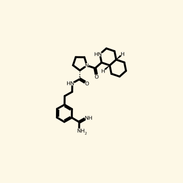 N=C(N)c1cccc(CCNC(=O)[C@@H]2CCCN2C(=O)C2NCC[C@@H]3CCCC[C@H]23)c1